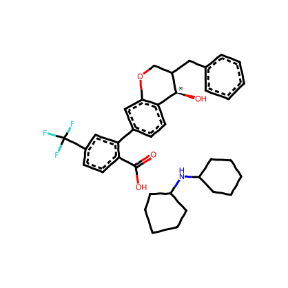 C1CCC(NC2CCCCC2)CC1.O=C(O)c1ccc(C(F)(F)F)cc1-c1ccc2c(c1)OCC(Cc1ccccc1)[C@H]2O